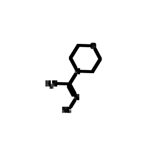 N#CN=C(N)N1CCOCC1